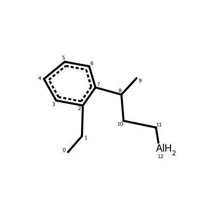 CCc1ccccc1C(C)C[CH2][AlH2]